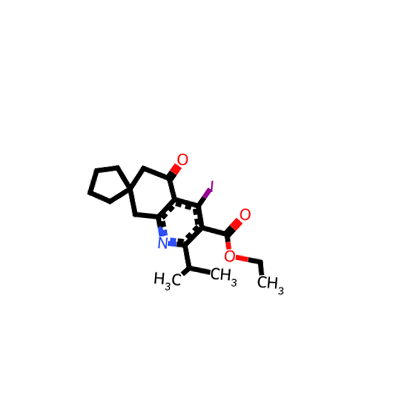 CCOC(=O)c1c(C(C)C)nc2c(c1I)C(=O)CC1(CCCC1)C2